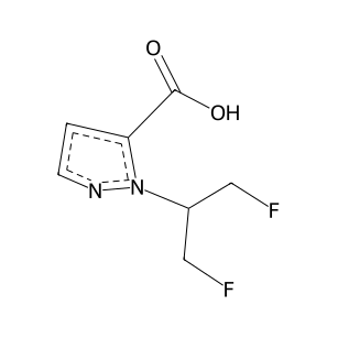 O=C(O)c1ccnn1C(CF)CF